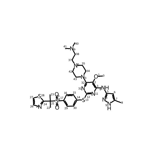 COc1c(Nc2cc(C)[nH]n2)nc(Sc2ccc(S(=O)(=O)C(C)(C)c3nccs3)cc2)nc1N1CCN(CCN(C)C)CC1